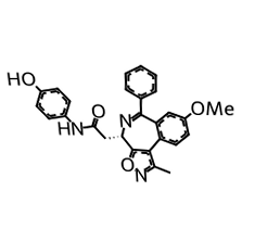 COc1ccc2c(c1)C(c1ccccc1)=N[C@@H](CC(=O)Nc1ccc(O)cc1)c1onc(C)c1-2